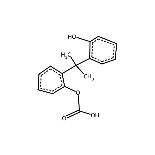 CC(C)(c1ccccc1O)c1ccccc1OC(=O)O